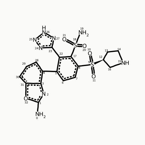 Nc1nc2c(-c3ccc(S(=O)(=O)[C@H]4CCNC4)c(S(N)(=O)=O)c3-c3nn[nH]n3)cccc2o1